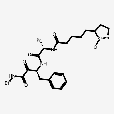 CCNC(=O)C(=O)[C@H](Cc1ccccc1)NC(=O)[C@@H](NC(=O)CCCCC1CCS[S+]1[O-])C(C)C